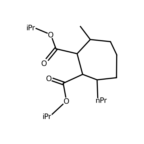 CCCC1CCCC(C)C(C(=O)OC(C)C)C1C(=O)OC(C)C